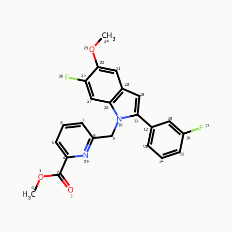 COC(=O)c1cccc(Cn2c(-c3cccc(F)c3)cc3cc(OC)c(F)cc32)n1